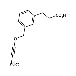 CCCCCCCCC#COCc1cccc(CCC(=O)O)c1